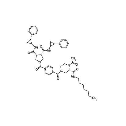 CCCCCCCNC(=O)[C@@H]1CN(C(=O)c2ccc(C(=O)N3C[C@@H](C(=O)N[C@H]4C[C@@H]4c4ccccc4)[C@H](C(=O)N[C@H]4C[C@@H]4c4ccccc4)C3)cc2)CCN1C(C)=O